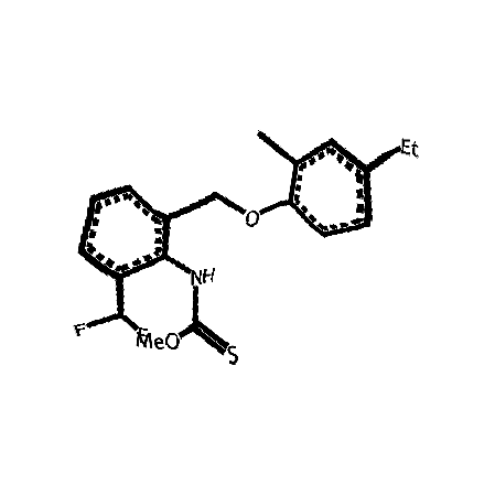 CCc1ccc(OCc2cccc(C(F)F)c2NC(=S)OC)c(C)c1